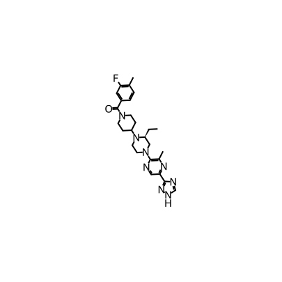 CC[C@H]1CN(c2ncc(-c3nc[nH]n3)nc2C)CCN1C1CCN(C(=O)c2ccc(C)c(F)c2)CC1